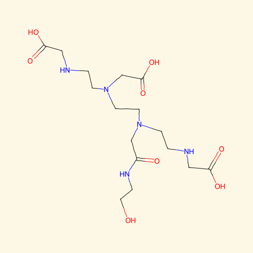 O=C(O)CNCCN(CCN(CCNCC(=O)O)CC(=O)NCCO)CC(=O)O